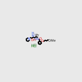 COCCCCOc1ccccc1C(=O)NCC(CC(N)C(O)CN1CCCCC1)C(C)C.Cl.Cl